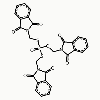 O=C1c2ccccc2C(=O)N1COP(=O)(SCN1C(=O)c2ccccc2C1=O)SCN1C(=O)c2ccccc2C1=O